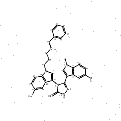 Cn1cc(-c2n[nH]c(=O)n2-c2cn(CCCOCc3ccccc3)c3ccc(F)cc23)c2cc(F)ccc21